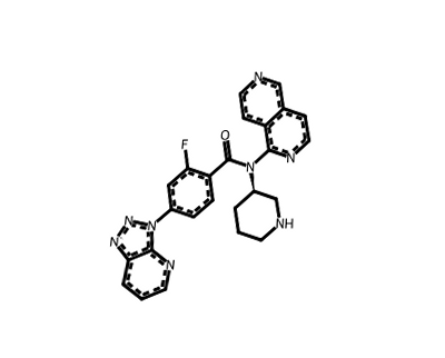 O=C(c1ccc(-n2nnc3cccnc32)cc1F)N(c1nccc2cnccc12)[C@@H]1CCCNC1